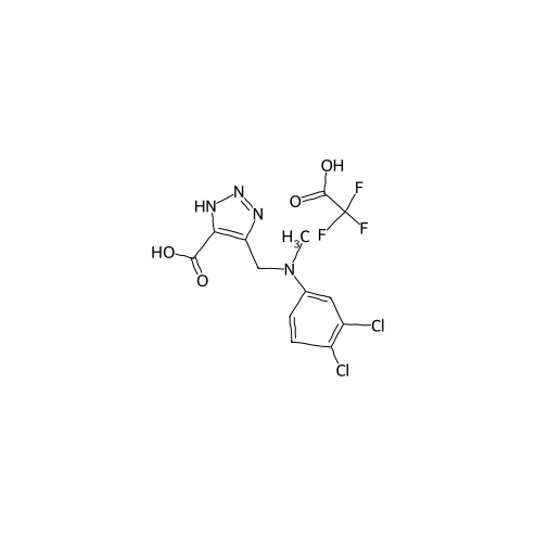 CN(Cc1nn[nH]c1C(=O)O)c1ccc(Cl)c(Cl)c1.O=C(O)C(F)(F)F